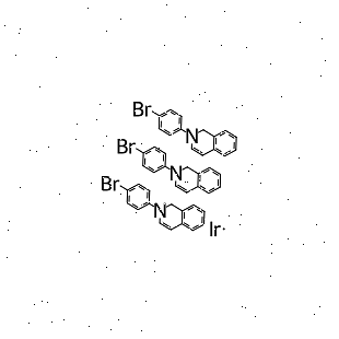 Brc1ccc(N2C=Cc3ccccc3C2)cc1.Brc1ccc(N2C=Cc3ccccc3C2)cc1.Brc1ccc(N2C=Cc3ccccc3C2)cc1.[Ir]